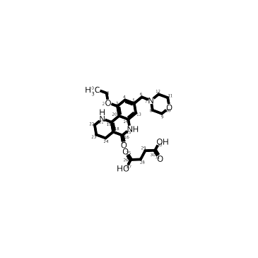 CCOc1cc(CN2CCOCC2)cc2[nH]c(=O)c3c(c12)NCCC3.O=C(O)CCC(=O)O